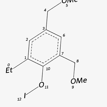 CCc1cc(COC)cc(COC)c1OI